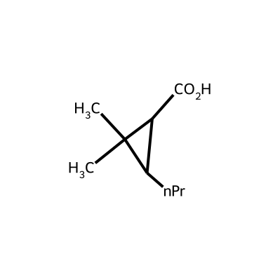 CCCC1C(C(=O)O)C1(C)C